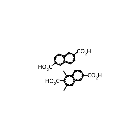 Cc1cc2cc(C(=O)O)ccc2c(C)c1C(=O)O.O=C(O)c1ccc2cc(C(=O)O)ccc2c1